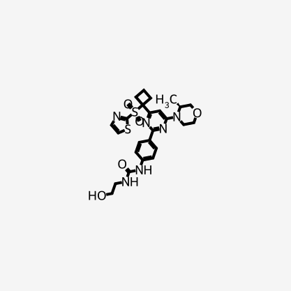 C[C@H]1COCCN1c1cc(C2(S(=O)(=O)c3nccs3)CCC2)nc(-c2ccc(NC(=O)NCCO)cc2)n1